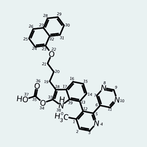 Cc1ccnc(-c2cncnc2)c1-c1cccc2c(CCCOc3cccc4ccccc34)c(OC(=O)O)[nH]c12